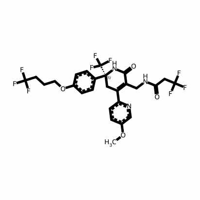 COc1ccc(C2=C(CNC(=O)CC(F)(F)F)C(=O)N[C@@](c3ccc(OCCCC(F)(F)F)cc3)(C(F)(F)F)C2)nc1